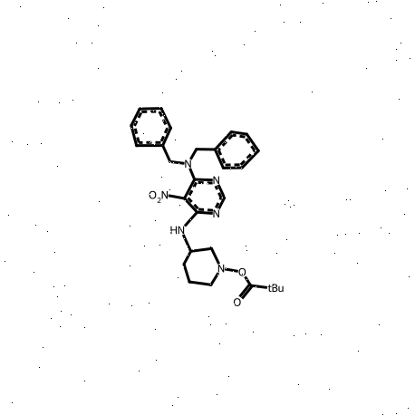 CC(C)(C)C(=O)ON1CCCC(Nc2ncnc(N(Cc3ccccc3)Cc3ccccc3)c2[N+](=O)[O-])C1